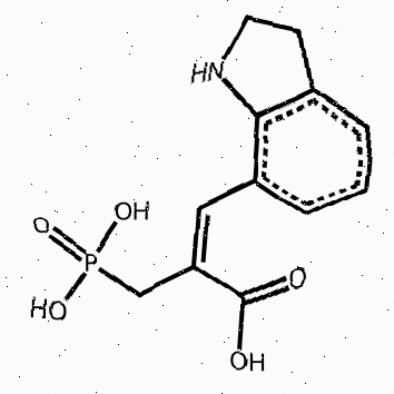 O=C(O)/C(=C\c1cccc2c1NCC2)CP(=O)(O)O